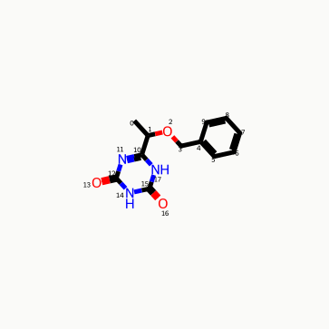 CC(OCc1ccccc1)c1nc(=O)[nH]c(=O)[nH]1